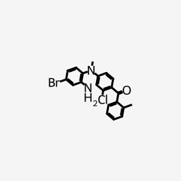 Cc1ccccc1C(=O)c1ccc(N(C)c2ccc(Br)cc2N)cc1Cl